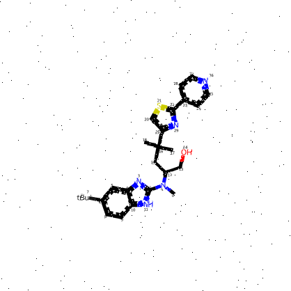 CN(c1nc2cc(C(C)(C)C)ccc2[nH]1)C(CO)CC(C)(C)c1csc(-c2ccncc2)n1